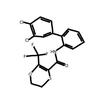 O=C(Nc1ccccc1-c1ccc(Cl)c(Cl)c1)C1=C(C(F)(F)F)OCCS1